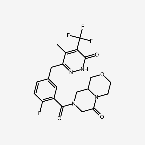 Cc1c(Cc2ccc(F)c(C(=O)N3CC(=O)N4CCOCC4C3)c2)n[nH]c(=O)c1C(F)(F)F